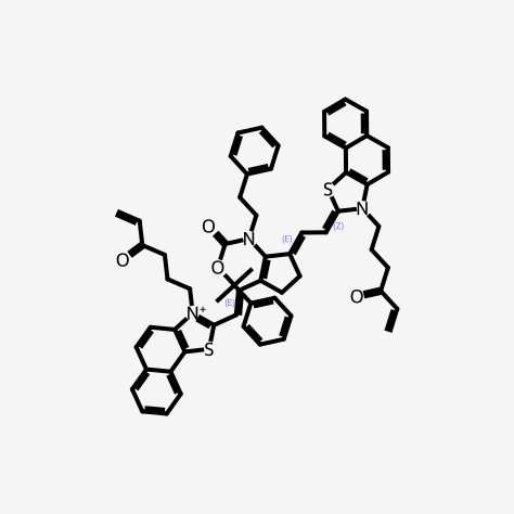 C=CC(=O)CCCN1/C(=C/C=C2\CCC(/C=C/c3sc4c5ccccc5ccc4[n+]3CCCC(=O)C=C)=C2N(CCc2ccccc2)C(=O)OC(C)(C)c2ccccc2)Sc2c1ccc1ccccc21